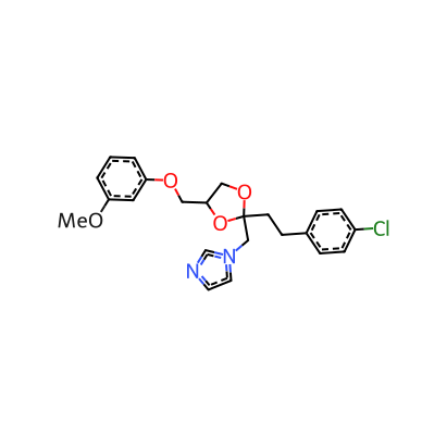 COc1cccc(OCC2COC(CCc3ccc(Cl)cc3)(Cn3ccnc3)O2)c1